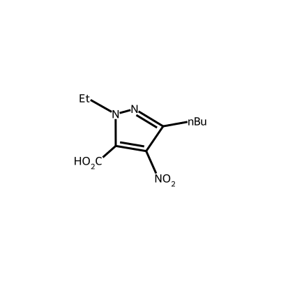 CCCCc1nn(CC)c(C(=O)O)c1[N+](=O)[O-]